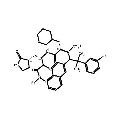 CCN(CC)C(=O)C(O)[C@H](C[C@@H]1CCNC1=O)NC(=O)[C@H](CC1CCCCC1)N(C(=O)O)C(c1ccc2ccccc2c1)C(C)(C)c1cccc(Cl)c1